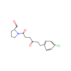 O=C[C@@H]1CCCN1C(=O)CCC(=O)CCc1ccc(Cl)cc1